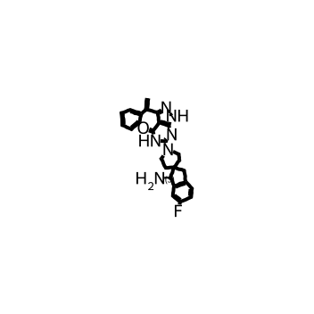 C=C(c1ccccc1)c1n[nH]c2nc(N3CCC4(CC3)Cc3ccc(F)cc3[C@H]4N)[nH]c(=O)c12